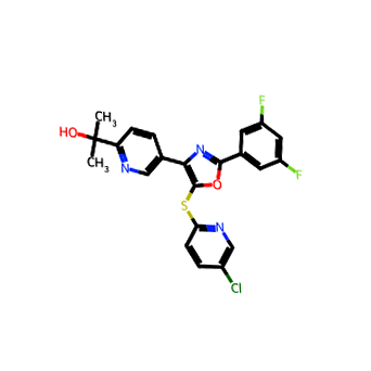 CC(C)(O)c1ccc(-c2nc(-c3cc(F)cc(F)c3)oc2Sc2ccc(Cl)cn2)cn1